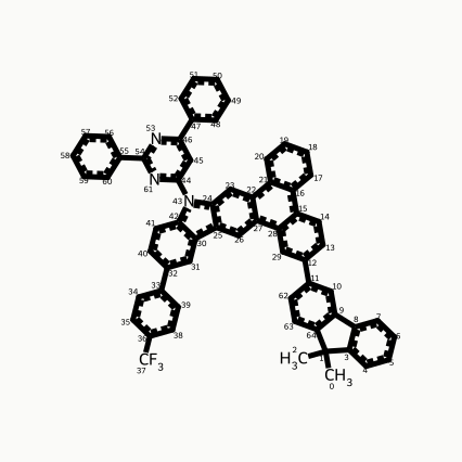 CC1(C)c2ccccc2-c2cc(-c3ccc4c5ccccc5c5cc6c(cc5c4c3)c3cc(-c4ccc(C(F)(F)F)cc4)ccc3n6-c3cc(-c4ccccc4)nc(-c4ccccc4)n3)ccc21